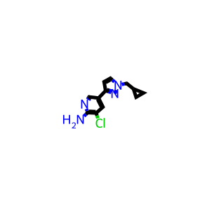 Nc1ncc(-c2ccn(CC3CC3)n2)cc1Cl